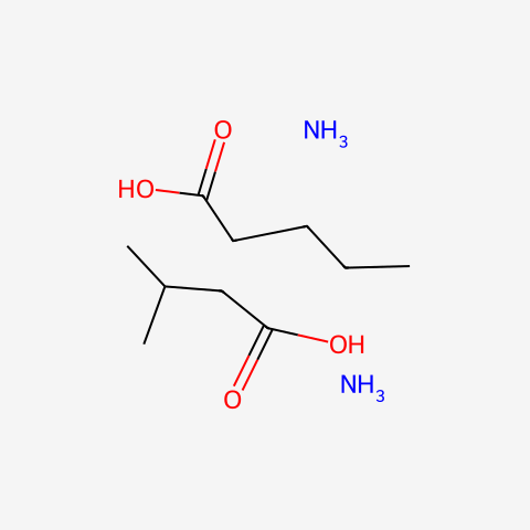 CC(C)CC(=O)O.CCCCC(=O)O.N.N